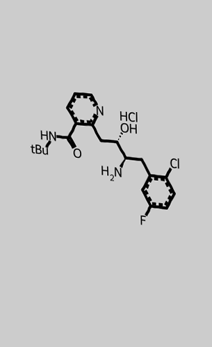 CC(C)(C)NC(=O)c1cccnc1C[C@H](O)[C@H](N)Cc1cc(F)ccc1Cl.Cl